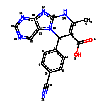 CC1=C(C(=O)O)C(c2ccc(C#N)cc2)n2c(nc3ncncc32)N1